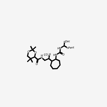 CCCCCCCCCCC(CCCCC)NC(=O)NC1CCCCCC1C(CNC(=O)C1OC(C)(C)OCC1(C)C)C(=O)O